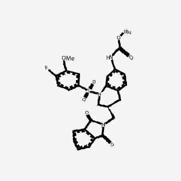 COc1cc(S(=O)(=O)N2C[C@H](CN3C(=O)c4ccccc4C3=O)Cc3ccc(NC(=O)OC(C)(C)C)cc32)ccc1F